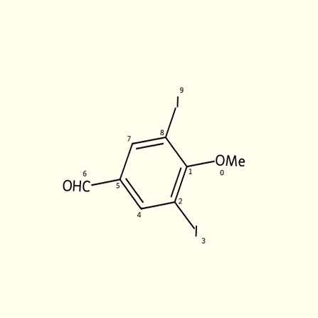 COc1c(I)cc(C=O)cc1I